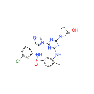 Cc1ccc(C(=O)Nc2cccc(Cl)c2)cc1Nc1nc(N2CC[C@H](O)C2)nc(-n2ccnc2)n1